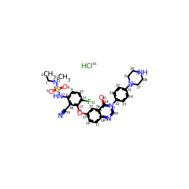 CCN(C)S(=O)(=O)Nc1ccc(F)c(Oc2ccc3ncn(-c4ccc(N5CCNCC5)cc4)c(=O)c3c2)c1C#N.Cl